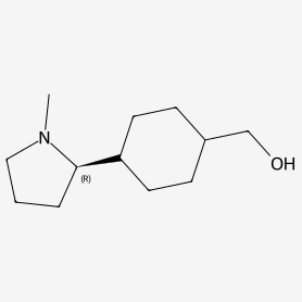 CN1CCC[C@@H]1C1CCC(CO)CC1